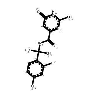 Cc1nc(C(=O)NC(C)(C)c2ccc(C(F)(F)F)cc2F)cc(=O)[nH]1